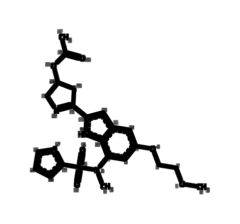 COCCOc1cc(N(C)S(=O)(=O)c2cccs2)c2[nH]c(C3=NCC(OC(C)=O)S3)cc2c1